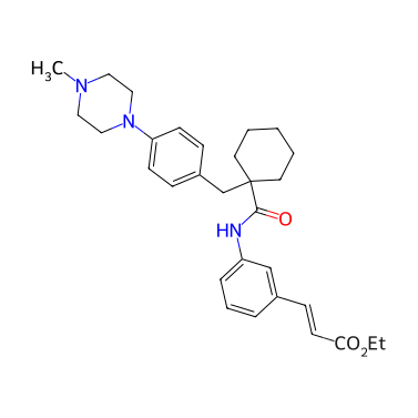 CCOC(=O)/C=C/c1cccc(NC(=O)C2(Cc3ccc(N4CCN(C)CC4)cc3)CCCCC2)c1